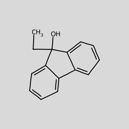 CCC1(O)c2ccccc2-c2ccccc21